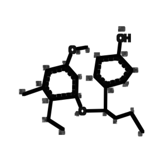 CCCC(Oc1cc(OC)cc(C)c1CC)c1ccc(O)cc1